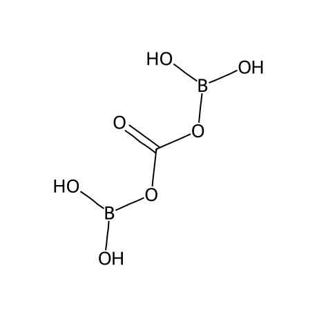 O=C(OB(O)O)OB(O)O